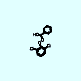 OB(OOc1c(Cl)cccc1Cl)c1ccccc1